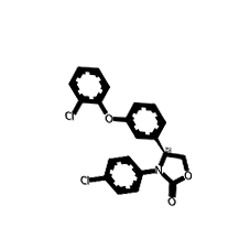 O=C1OC[C@H](c2cccc(Oc3ccccc3Cl)c2)N1c1ccc(Cl)cc1